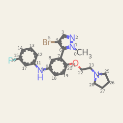 Cn1ncc(Br)c1-c1cc(Nc2cccc(F)c2)ccc1OCCN1CCCC1